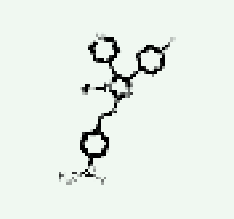 CCCn1c(SCc2ccc([S+](C)[O-])cc2)nc(-c2ccc(F)cc2)c1-c1ccncc1